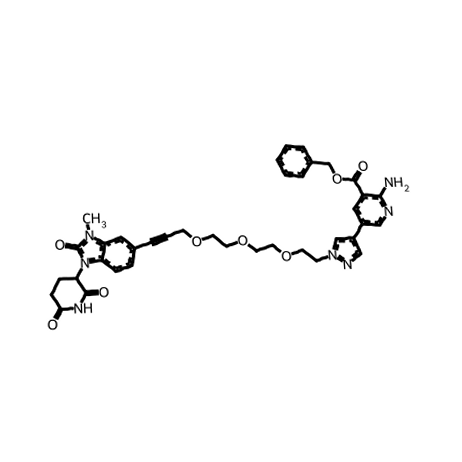 Cn1c(=O)n(C2CCC(=O)NC2=O)c2ccc(C#CCOCCOCCOCCn3cc(-c4cnc(N)c(C(=O)OCc5ccccc5)c4)cn3)cc21